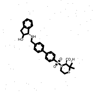 CC1(C)SCCN(S(=O)(=O)c2ccc(-c3ccc(CN[C@H]4c5ccccc5CC4O)cc3)cc2)[C@H]1C(=O)O